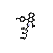 CCOC(=O)CC(=O)C[C@H](O)/C=C/c1c(C2CC2)nc2ccccc2c1-c1ccc(F)cc1